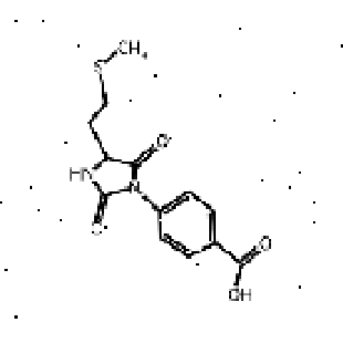 CSCCC1NC(=O)N(c2ccc(C(=O)O)cc2)C1=O